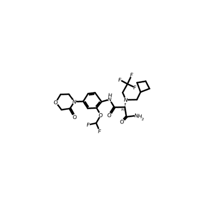 NC(=O)[C@H](C(=O)Nc1ccc(N2CCOCC2=O)cc1OC(F)F)N(CC1CCC1)CC(F)(F)F